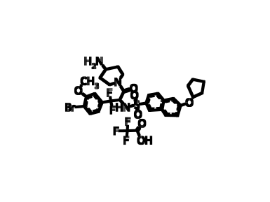 COc1cc(C(F)(F)C(NS(=O)(=O)c2ccc3cc(OC4CCCC4)ccc3c2)C(=O)N2CCC(N)CC2)ccc1Br.O=C(O)C(F)(F)F